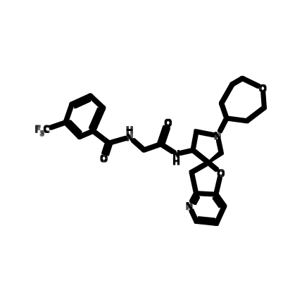 O=C(CNC(=O)c1cccc(C(F)(F)F)c1)NC1CN(C2CCCOCC2)C[C@@]12Cc1ncccc1O2